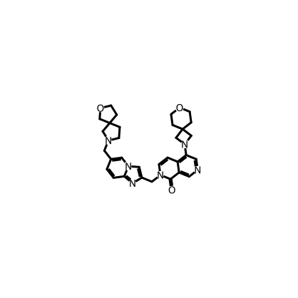 O=c1c2cncc(N3CC4(CCOCC4)C3)c2ccn1Cc1cn2cc(CN3CCC4(CCOC4)C3)ccc2n1